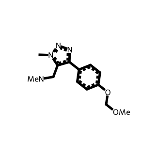 CNCc1c(-c2ccc(OCOC)cc2)nnn1C